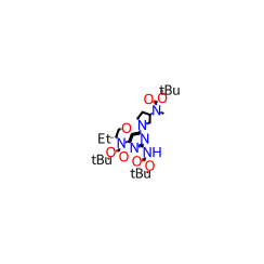 CC[C@@H]1COc2c(N3CC[C@@H](N(C)C(=O)OC(C)(C)C)C3)nc(NC(=O)OC(C)(C)C)nc2N1C(=O)OC(C)(C)C